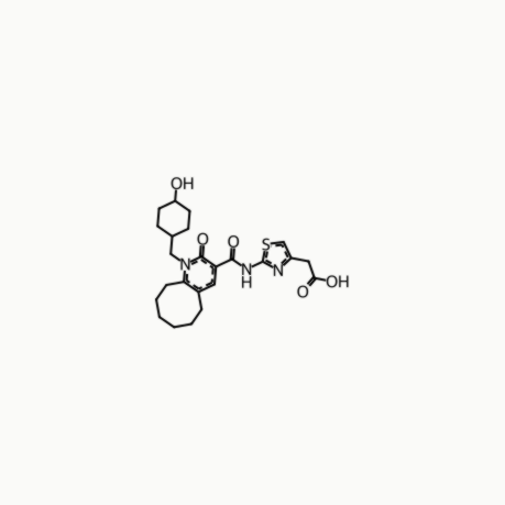 O=C(O)Cc1csc(NC(=O)c2cc3c(n(CC4CCC(O)CC4)c2=O)CCCCCC3)n1